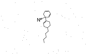 CCCCCC1CC=C(C2(C#N)C=CC=CC2)CC1